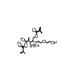 C=C(C)C(=O)OCC(OCCOCCO)C(CCCCCC)C(=C)C(=O)OC(=O)C(=C)C